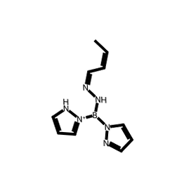 C/C=C\C=N/NB(n1cccn1)[n+]1ccc[nH]1